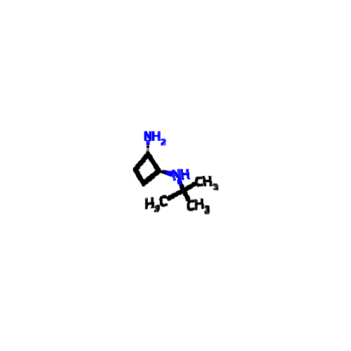 CC(C)(C)N[C@H]1CC[C@@H]1N